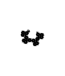 COc1ccc(N(c2ccc(N(c3ccc(-c4ccc(N(c5ccc(N(c6ccc(C)cc6)c6cccc7ccccc67)cc5)c5cccc6ccccc56)cc4)cc3)c3cccc4ccccc34)cc2)c2cccc3ccccc23)cc1